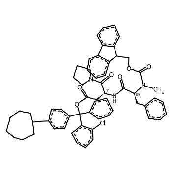 CN(C(=O)OCC1c2ccccc2-c2ccccc21)[C@@H](Cc1ccccc1)C(=O)N[C@@H](CC(=O)OC(c1ccccc1)(c1ccc(C2CCCCCCC2)cc1)c1ccccc1Cl)C(=O)N1CCCC1